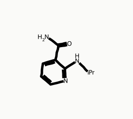 CC(C)Nc1ncccc1C(N)=O